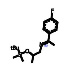 C/C(=N\CC(C)O[Si](C)(C)C(C)(C)C)c1ccc(F)cc1